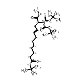 COC(=O)[C@H](C/C=C/CCCCCCC(=O)OC(C)(C)C)N(C(=O)OC(C)(C)C)C(=O)OC(C)(C)C